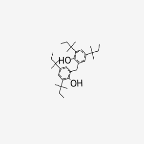 CCC(C)(C)c1cc(Cc2cc(C(C)(C)CC)cc(C(C)(C)CC)c2O)c(O)c(C(C)(C)CC)c1